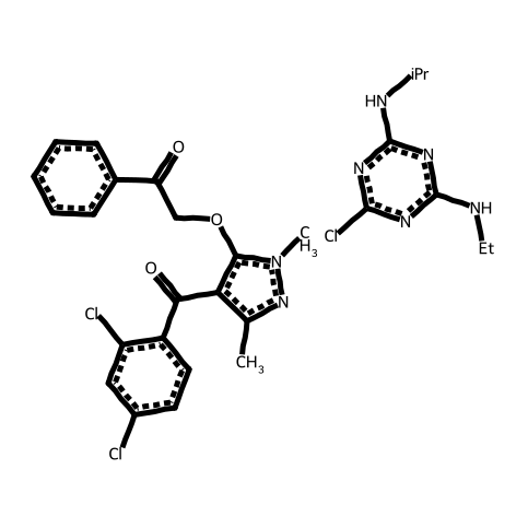 CCNc1nc(Cl)nc(NC(C)C)n1.Cc1nn(C)c(OCC(=O)c2ccccc2)c1C(=O)c1ccc(Cl)cc1Cl